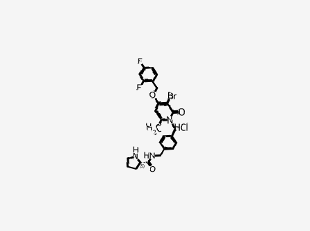 Cc1cc(OCc2ccc(F)cc2F)c(Br)c(=O)n1Cc1ccc(CNC(=O)[C@@H]2CCCN2)cc1.Cl